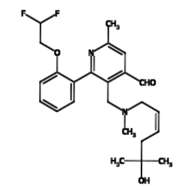 Cc1cc(C=O)c(CN(C)C/C=C\CC(C)(C)O)c(-c2ccccc2OCC(F)F)n1